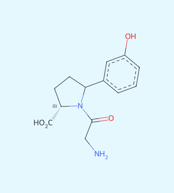 NCC(=O)N1C(c2cccc(O)c2)CC[C@H]1C(=O)O